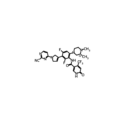 C[C@H]1CN(c2cc(F)c(C3=CCN(c4ccnc(C#N)n4)C3)c(F)c2NC(=O)c2c[nH]c(=O)cc2C(F)(F)F)CCN1C